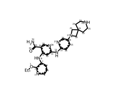 CCOc1ncccc1Nc1cc(Nc2ccc(N3CC4(CCNCC4)C3)cn2)ncc1C(N)=O